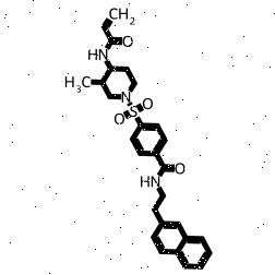 C=CC(=O)NC1CCN(S(=O)(=O)c2ccc(C(=O)NCCc3ccc4ccccc4c3)cc2)CC1C